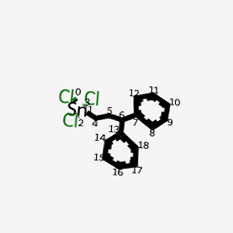 [Cl][Sn]([Cl])([Cl])[CH2]CC(c1ccccc1)c1ccccc1